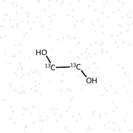 O[13CH2][13CH2]O